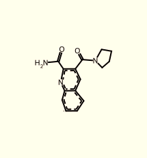 NC(=O)c1nc2c[c]ccc2cc1C(=O)N1CCCC1